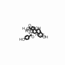 CC(=O)[C@]1(O)CC[C@@]2(O)[C@]1(C)[C@H](OC(=O)c1ccc(O)cc1)C[C@@H]1[C@@]3(C)CC[C@H](O)CC3=CC[C@]12O